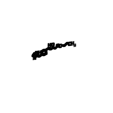 CCCCCOCC(O)C=Cc1ccc(Cc2ncc[nH]2)cc1